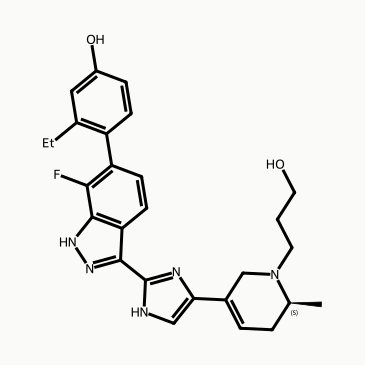 CCc1cc(O)ccc1-c1ccc2c(-c3nc(C4=CC[C@H](C)N(CCCO)C4)c[nH]3)n[nH]c2c1F